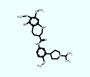 COc1ccc(NC(=O)C2CCc3c(cc(OC)c(OC)c3Br)NC2)cc1C1CCN(C(C)C)CC1